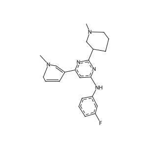 CN1C=C(c2cc(Nc3cccc(F)c3)nc(C3CCCN(C)C3)n2)C=CC1